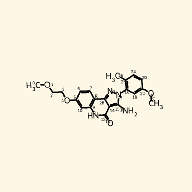 COCCOc1ccc2c(c1)[nH]c(=O)c1c(N)n(-c3cc(OC)ccc3C)nc12